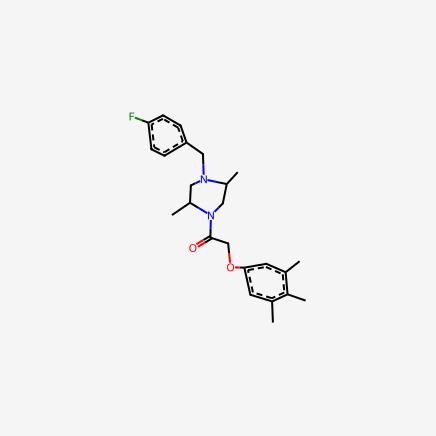 Cc1cc(OCC(=O)N2CC(C)N(Cc3ccc(F)cc3)CC2C)cc(C)c1C